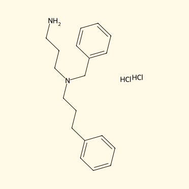 Cl.Cl.NCCCN(CCCc1ccccc1)Cc1ccccc1